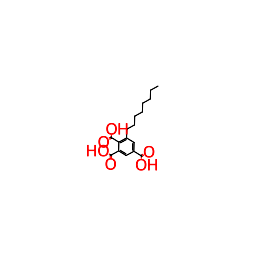 CCCCCCCCc1cc(C(=O)O)cc(C(=O)O)c1C(=O)O